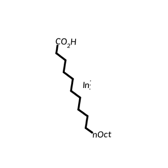 CCCCCCCCCCCCCCCCCC(=O)O.[In]